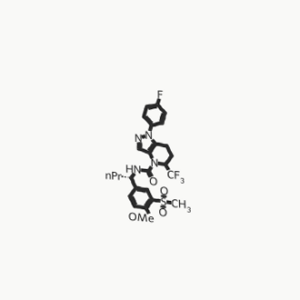 CCC[C@H](NC(=O)N1c2cnn(-c3ccc(F)cc3)c2CCC1C(F)(F)F)c1ccc(OC)c(S(C)(=O)=O)c1